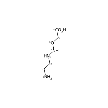 NCCNNOCC(=O)O